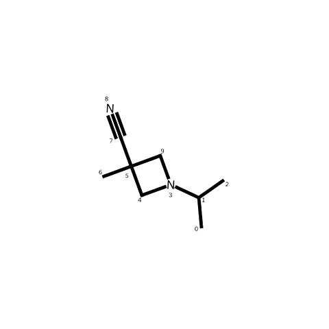 CC(C)N1CC(C)(C#N)C1